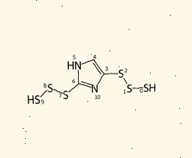 SSSc1c[nH]c(SSS)n1